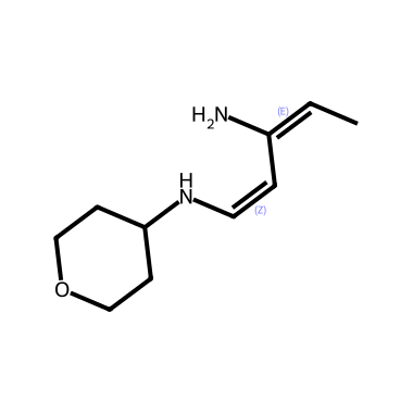 C/C=C(N)\C=C/NC1CCOCC1